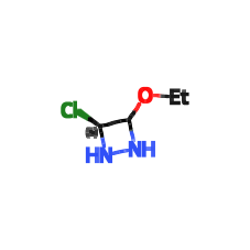 CCOC1NN[C@H]1Cl